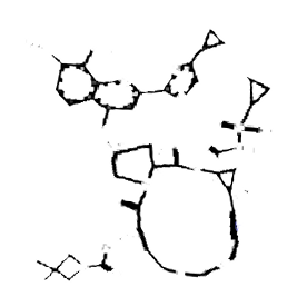 COc1ccc2c(O[C@@H]3C[C@H]4C(=O)N[C@]5(C(=O)NS(=O)(=O)C6CC6)C[C@H]5/C=C\CCCCC[C@H](NC(=O)N5CC(F)(F)C5)C(=O)N4C3)cc(-c3nc(C4CC4)cs3)nc2c1C